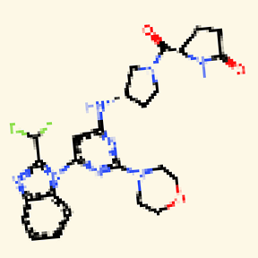 O=C1CC[C@H](C(=O)N2CC[C@H](Nc3cc(-n4c(C(F)F)nc5ccccc54)nc(N4CCOCC4)n3)C2)N1